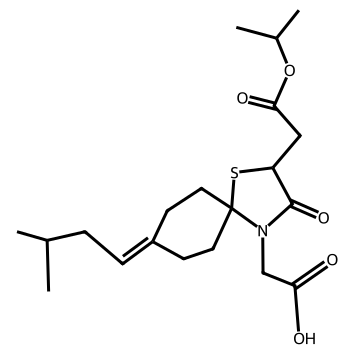 CC(C)CC=C1CCC2(CC1)SC(CC(=O)OC(C)C)C(=O)N2CC(=O)O